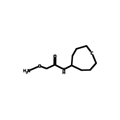 NOCC(=O)NC1CCCCCCC1